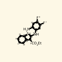 CCOC(=O)c1c(Nc2cc(F)c(F)cc2N)sc2ccccc12